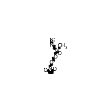 CCN(CCN=[N+]=[N-])C(=O)COCCOCCN1C(=O)C=CC1=O